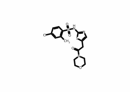 Cc1cc(Cl)ccc1S(=O)(=O)Nc1ncc(CC(=O)N2CCOCC2)s1